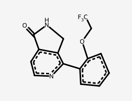 O=C1NCc2c1ccnc2-c1ccccc1OCC(F)(F)F